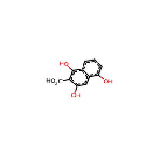 O=C(O)c1c(O)cc2c(O)cccc2c1O